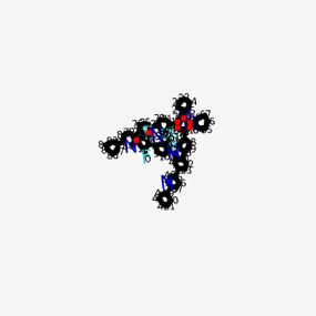 Fc1cccc(F)c1-c1ccc(-n2c3cc(-c4ccc(-c5ccccc5)nc4)ccc3c3ccc(-c4ccc(-c5ccccc5)nc4)cc32)c(C(F)(F)F)c1-n1c2cc(-c3ccc(-c4ccccc4)nc3)ccc2c2ccc(-c3ccc(-c4ccccc4)nc3)cc21